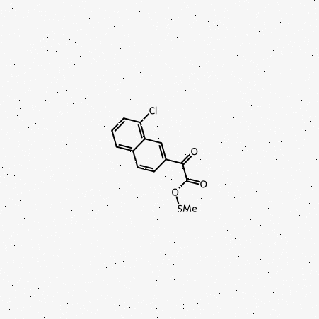 CSOC(=O)C(=O)c1ccc2cccc(Cl)c2c1